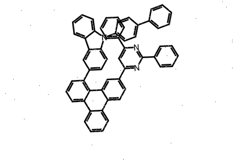 c1ccc(-c2ccc(-n3c4ccccc4c4cc(-c5cccc6c7ccccc7c7ccc(-c8cc(-c9ccccc9)nc(-c9ccccc9)n8)cc7c56)ccc43)cc2)cc1